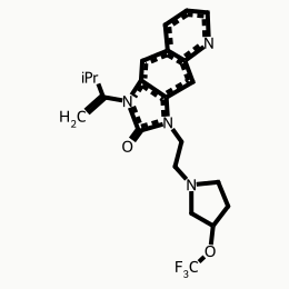 C=C(C(C)C)n1c(=O)n(CCN2CCC(OC(F)(F)F)C2)c2cc3ncccc3cc21